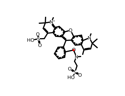 CC1=CC(C)(C)N(C)c2cc3c(cc21)C(c1ccccc1C(=O)N(C)CCS(=O)(=O)O)=c1cc2c(cc1O3)=[N+](C)C(C)(C)C=C2CS(=O)(=O)O